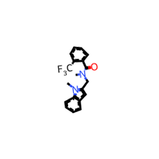 CN(Cc1cc2ccccc2n1C)C(=O)c1ccccc1C(F)(F)F